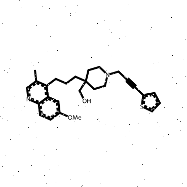 COc1ccc2ncc(C)c(CCCC3(CO)CCN(CC#Cc4cccs4)CC3)c2c1